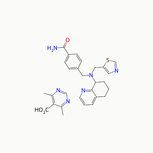 Cc1ncnc(C)c1C(=O)O.NC(=O)c1ccc(CN(Cc2cncs2)C2CCCc3cccnc32)cc1